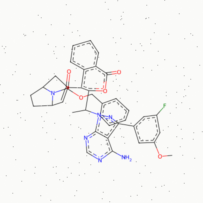 COc1cc(F)cc(-c2nn(C(C)c3oc(=O)c4ccccc4c3C3=CC4CCC(C3)N4C(=O)OCc3ccccc3)c3ncnc(N)c23)c1